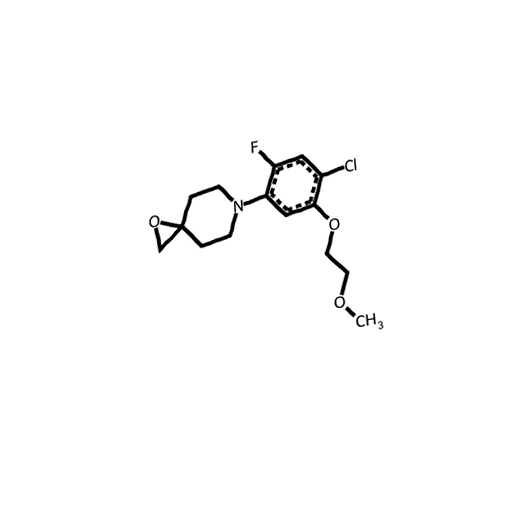 COCCOc1cc(N2CCC3(CC2)CO3)c(F)cc1Cl